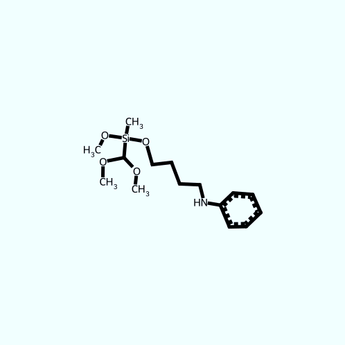 COC(OC)[Si](C)(OC)OCCCCNc1ccccc1